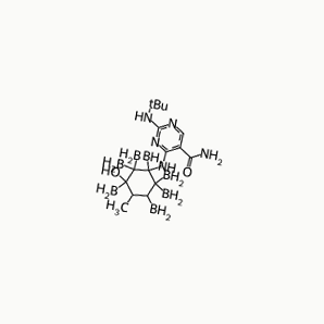 BC1C(C)C(B)(O)C(B)(B)C(B)(Nc2nc(NC(C)(C)C)ncc2C(N)=O)C1(B)B